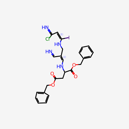 N=C/C(=C\NC(CC(=O)OCc1ccccc1)C(=O)OCc1ccccc1)CN/C(I)=C\C(=N)Cl